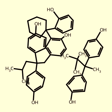 CC(C)(C)C(C)(c1ccc(O)cc1)c1ccc(O)cc1.CC(C)CC(Cc1ccc(O)c(C2(c3ccccc3O)CCCCC2)c1)(c1ccc(O)cc1)c1ccc(O)cc1